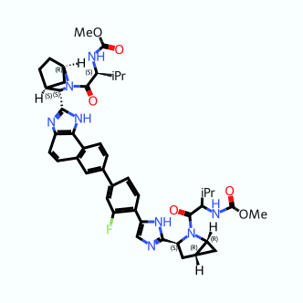 COC(=O)NC(C(=O)N1[C@@H]2C[C@@H]2C[C@H]1c1ncc(-c2ccc(-c3ccc4c(ccc5nc([C@@H]6[C@H]7CC[C@H](C7)N6C(=O)[C@@H](NC(=O)OC)C(C)C)[nH]c54)c3)cc2F)[nH]1)C(C)C